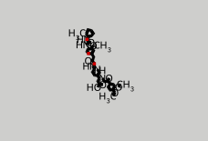 COc1cc(CC(=O)CNc2ccc(C(CC(=O)O)NCC(=O)c3ccc(OC)c(OC)c3)cn2)ccc1NC(=O)Nc1ccccc1C